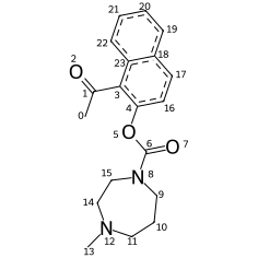 CC(=O)c1c(OC(=O)N2CCCN(C)CC2)ccc2ccccc12